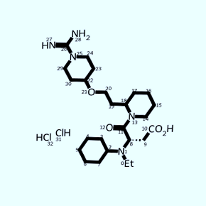 CCN(C1CCCCC1)[C@@H](CC(=O)O)C(=O)N1CCCCC1CCOC1CCN(C(=N)N)CC1.Cl.Cl